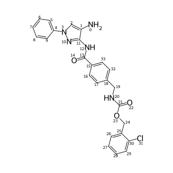 Nc1cn(-c2ccccc2)nc1NC(=O)c1ccc(CNC(=O)OCc2ccccc2Cl)cc1